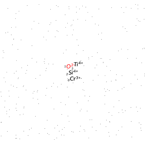 [Cr+3].[O-2].[Si+4].[Ti+4]